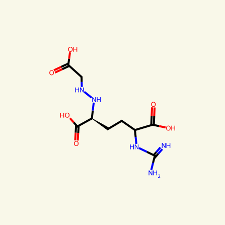 N=C(N)NC(CC[C@H](NNCC(=O)O)C(=O)O)C(=O)O